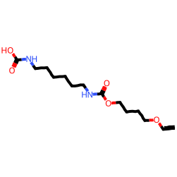 C=COCCCCOC(=O)NCCCCCCNC(=O)O